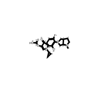 CN1CCC2CN(c3c(F)cc4c(=O)c(OC(=O)O)cn(C5CC5)c4c3Cl)CC21